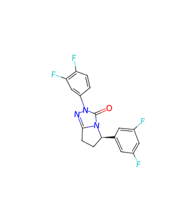 O=c1n(-c2ccc(F)c(F)c2)nc2n1[C@@H](c1cc(F)cc(F)c1)CC2